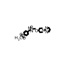 CS(=O)(=O)c1ccc(-c2noc(COC3CCN(c4ncccn4)CC3)n2)cc1